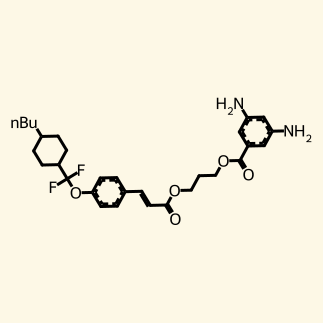 CCCCC1CCC(C(F)(F)Oc2ccc(C=CC(=O)OCCCOC(=O)c3cc(N)cc(N)c3)cc2)CC1